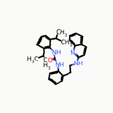 CC(C)c1cccc(C(C)C)c1NC(=O)Nc1ccccc1CCNc1ccc2ccccc2n1